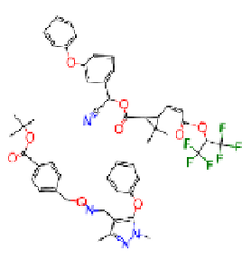 CC1(C)C(/C=C\C(=O)OC(C(F)(F)F)C(F)(F)F)C1C(=O)OC(C#N)c1cccc(Oc2ccccc2)c1.Cc1nn(C)c(Oc2ccccc2)c1/C=N/OCc1ccc(C(=O)OC(C)(C)C)cc1